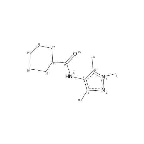 Cc1nn(C)c(C)c1NC(=O)C1CCCCC1